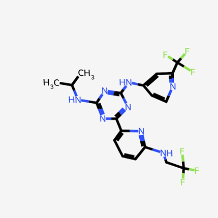 CC(C)Nc1nc(Nc2ccnc(C(F)(F)F)c2)nc(-c2cccc(NCC(F)(F)F)n2)n1